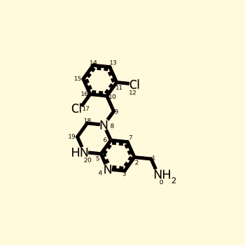 NCc1cnc2c(c1)N(Cc1c(Cl)cccc1Cl)CCN2